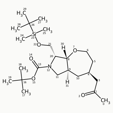 CC(=O)C[C@@H]1CCO[C@@H]2[C@@H](C1)CN(C(=O)OC(C)(C)C)[C@@H]2CO[Si](C)(C)C(C)(C)C